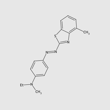 CCN(C)c1ccc(N=Nc2nc3c(C)cccc3s2)cc1